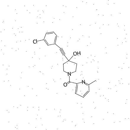 Cc1cccc(C(=O)N2CCC(O)(C#Cc3cccc(Cl)c3)CC2)n1